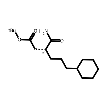 CC(C)(C)OC(=O)C[C@@H](CCCC1CCCCC1)C(N)=O